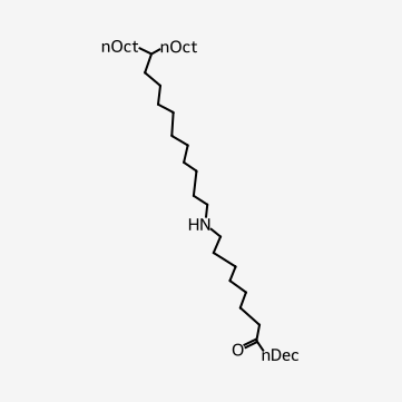 CCCCCCCCCCC(=O)CCCCCCCNCCCCCCCCCCC(CCCCCCCC)CCCCCCCC